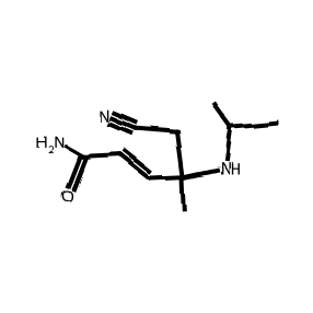 CC(C)NC(C)(C=CC(N)=O)CC#N